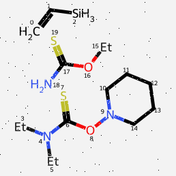 C=C[SiH3].CCN(CC)C(=S)ON1CCCCC1.CCOC(N)=S